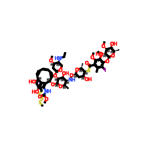 CCN[C@H]1CO[C@@H](O[C@H]2[C@H](O[C@H]3C#CC=CC#C[C@]4(O)C[C@H](O)C(NC(=O)OC)=C3/C4=C\CSSSC)O[C@H](C)[C@@H](NO[C@H]3C[C@H](O)[C@H](SC(=O)c4c(C)c(I)c(O[C@@H]5O[C@@H](C)[C@H](O)[C@@H](OC)[C@H]5O)c(OC)c4OC)[C@@H](C)O3)[C@@H]2O)C[C@@H]1OC